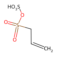 C=CCS(=O)(=O)OS(=O)(=O)O